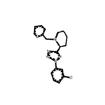 Clc1cccc(-n2nnc(C3CCCCN3Cc3ccccn3)n2)c1